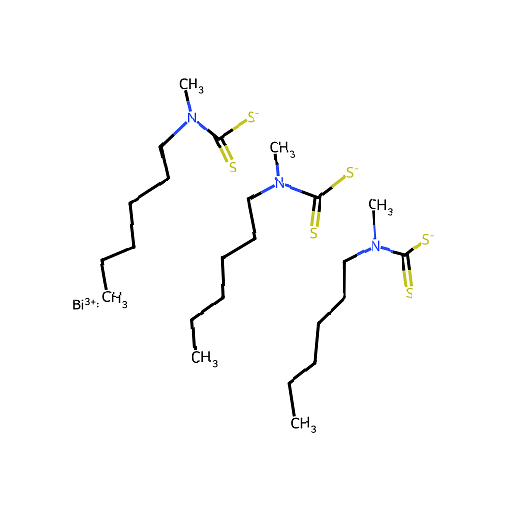 CCCCCCN(C)C(=S)[S-].CCCCCCN(C)C(=S)[S-].CCCCCCN(C)C(=S)[S-].[Bi+3]